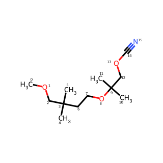 COCC(C)(C)CCOC(C)(C)COC#N